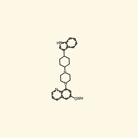 COc1cc(N2CCN(C3CCC(c4c[nH]c5ccccc45)CC3)CC2)c2ncccc2c1